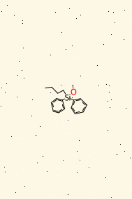 CCCC[Si](OC)(c1ccccc1)c1ccccc1